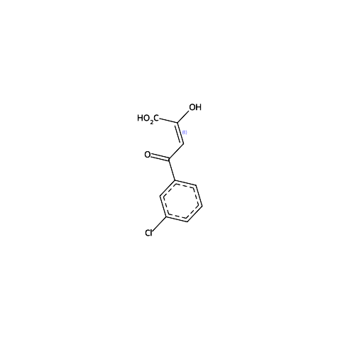 O=C(O)/C(O)=C\C(=O)c1cccc(Cl)c1